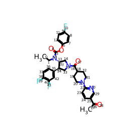 CCN(C(=O)Oc1ccc(F)cc1)[C@@H]1CN(C(=O)C2CCN(c3ccc(C(C)=O)cn3)CC2)C[C@H]1c1ccc(F)c(F)c1